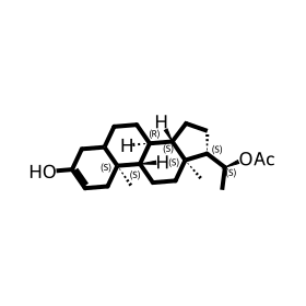 CC(=O)O[C@@H](C)[C@H]1CC[C@H]2[C@@H]3CCC4CC(O)=CC[C@]4(C)[C@H]3CC[C@]12C